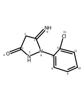 N=C1CC(=O)NN1c1ccccc1Cl